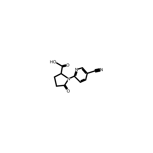 N#Cc1ccc(N2C(=O)CCC2C(=O)O)nc1